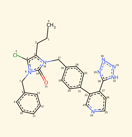 CCCc1c(Cl)n(Cc2ccccc2)c(=O)n1Cc1ccc(-c2cnccc2-c2nnn[nH]2)cc1